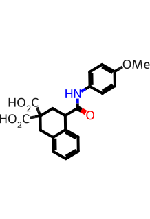 COc1ccc(NC(=O)C2CC(C(=O)O)(C(=O)O)Cc3ccccc32)cc1